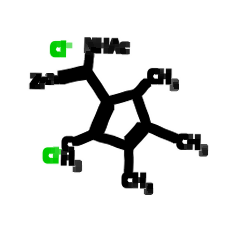 CC(=O)N[C](=[Zr+2])C1=C(C)C(C)=C(C)C1C.[Cl-].[Cl-]